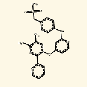 CNS(=O)(=O)Cc1ccc(Nc2cc(Oc3cc(C)c(C)nc3-c3ccccn3)ccn2)cc1